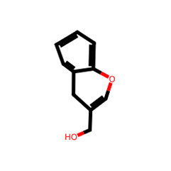 OCC1=COc2ccccc2C1